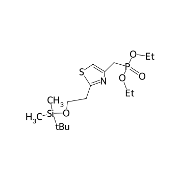 CCOP(=O)(Cc1csc(CCO[Si](C)(C)C(C)(C)C)n1)OCC